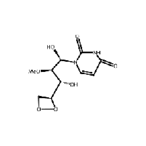 CO[C@H]([C@H](O)[C@@H]1COO1)[C@@H](O)n1ccc(=O)[nH]c1=O